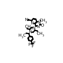 CCC1CN(C(CC)c2ccc(C(F)(F)F)cc2)C(CC)CN1c1nc(=O)n(C)c2ccc(C#N)nc12